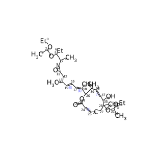 CCOC(C)OC(CC)C(C)C1OC1CC(C)/C=C/C=C(\C)C1OC(=O)/C=C\CCC(C)(OC(C)OCC)C(O)/C=C/C1C